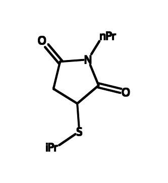 CCCN1C(=O)CC(SC(C)C)C1=O